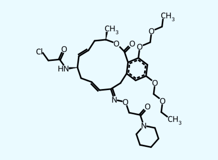 CCOCOc1cc2c(c(OCOCC)c1)C(=O)O[C@H](C)C/C=C/[C@H](NC(=O)CCl)C/C=C/C(=N/OCC(=O)N1CCCCC1)C2